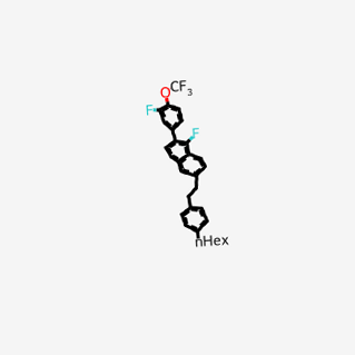 CCCCCCc1ccc(CCc2ccc3c(F)c(-c4ccc(OC(F)(F)F)c(F)c4)ccc3c2)cc1